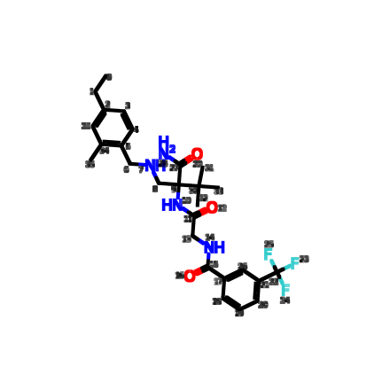 CCc1ccc(CNCC(NC(=O)CNC(=O)c2cccc(C(F)(F)F)c2)(C(N)=O)C(C)(C)C)c(C)c1